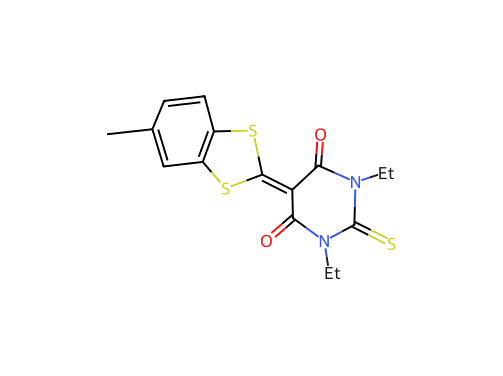 CCN1C(=O)C(=C2Sc3ccc(C)cc3S2)C(=O)N(CC)C1=S